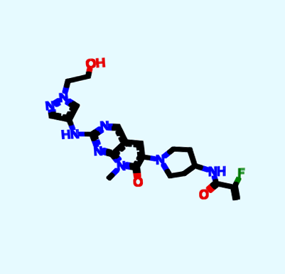 C=C(F)C(=O)NC1CCN(c2cc3cnc(Nc4cnn(CCO)c4)nc3n(C)c2=O)CC1